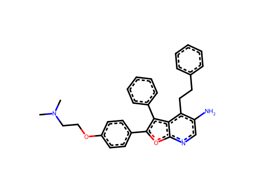 CN(C)CCOc1ccc(-c2oc3ncc(N)c(CCc4ccccc4)c3c2-c2ccccc2)cc1